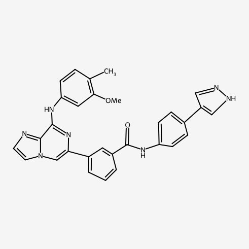 COc1cc(Nc2nc(-c3cccc(C(=O)Nc4ccc(-c5cn[nH]c5)cc4)c3)cn3ccnc23)ccc1C